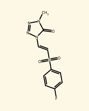 Cn1nnn(C=CS(=O)(=O)c2ccc(F)cc2)c1=O